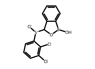 [O-][S+](c1cccc(Cl)c1Cl)C1OB(O)c2ccccc21